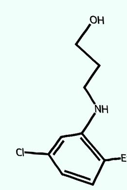 [CH2-][CH+]c1ccc(Cl)cc1NCCCO